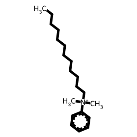 CCCCCCCCCCCC[N+](C)(C)c1ccccc1